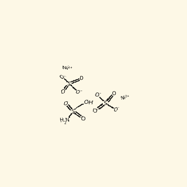 NS(=O)(=O)O.O=S(=O)([O-])[O-].O=S(=O)([O-])[O-].[Ni+2].[Ni+2]